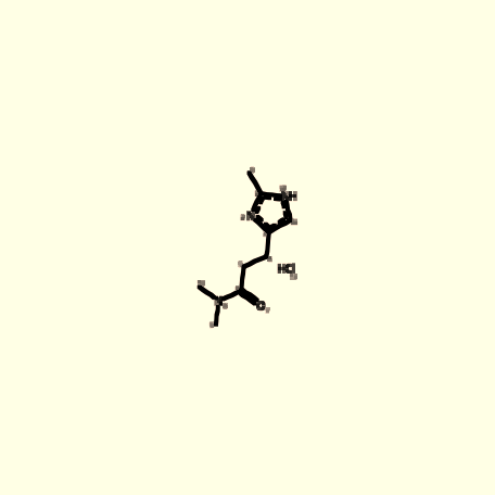 Cc1nc(CCC(=O)N(C)C)c[nH]1.Cl